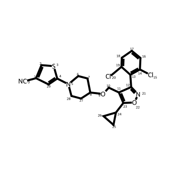 N#Cc1csc(N2CCC(OCc3c(-c4c(Cl)cccc4Cl)noc3C3CC3)CC2)c1